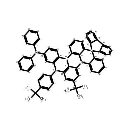 CC(C)(C)c1ccc(N2c3cc(N(c4ccccc4)c4ccccc4)ccc3B3c4cccc5c4N(c4ccccc4[Si]54c5ccccc5-c5ccccc54)c4cc(C(C)(C)C)cc2c43)cc1